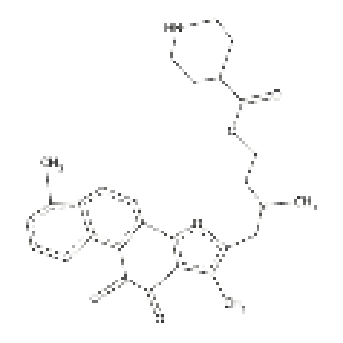 Cc1c(CN(C)CCOC(=O)C2CCNCC2)oc2c1C(=O)C(=O)c1c-2ccc2c(C)cccc12